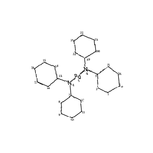 C1CCC([N]([Pd][N](C2CCCCC2)C2CCCCC2)C2CCCCC2)CC1